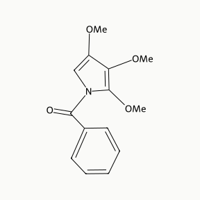 COc1cn(C(=O)c2ccccc2)c(OC)c1OC